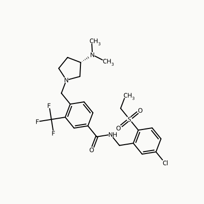 CCS(=O)(=O)c1ccc(Cl)cc1CNC(=O)c1ccc(CN2CC[C@H](N(C)C)C2)c(C(F)(F)F)c1